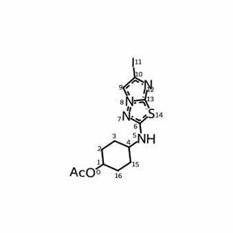 CC(=O)OC1CCC(Nc2nn3cc(I)nc3s2)CC1